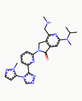 CNCc1nc(N(C)C(C)C)cc2c1CN(c1cccc(-c3nncn3-c3ccnn3C)n1)C2=O